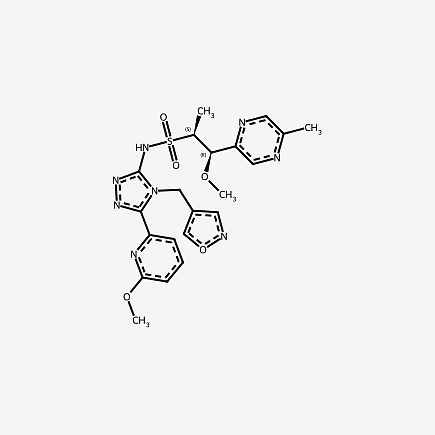 COc1cccc(-c2nnc(NS(=O)(=O)[C@@H](C)[C@H](OC)c3cnc(C)cn3)n2Cc2cnoc2)n1